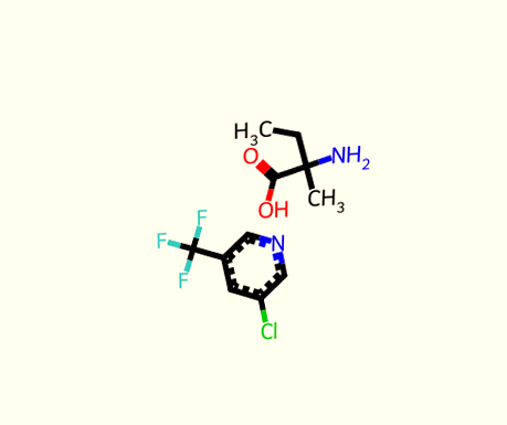 CCC(C)(N)C(=O)O.FC(F)(F)c1cncc(Cl)c1